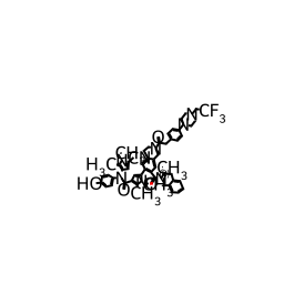 Cc1c(N(C(=O)c2cc(-c3cc4c(cc3C(=O)N3Cc5ccccc5C[C@H]3C)CN(C(=O)Cc3ccc(N5CCN(CC(F)(F)F)CC5)cc3)CC4)n(C)c2C)c2ccc(O)cc2)cc(C#N)n1C